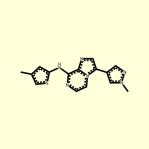 Cc1csc(Nc2nccn3c(-c4cnn(C)c4)cnc23)c1